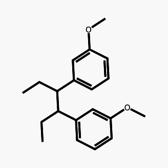 CCC(c1cccc(OC)c1)C(CC)c1cccc(OC)c1